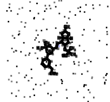 COCc1cccc(CCC(/C=C/C2[C@H]3CC(O)O[C@H]3C[C@H]2O[Si](C)(C)C(C)(C)C)O[Si](C)(C)C(C)(C)C)c1